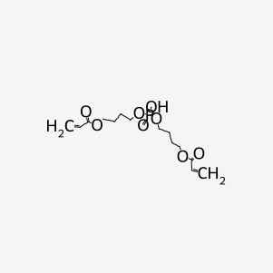 C=CC(=O)OCCCCOP(=O)(O)OCCCCOC(=O)C=C